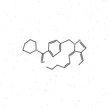 C/C=c1/cnn(Cc2ccc(C(=N)N3CCCCC3)cc2)/c1=C/C=C\CCC